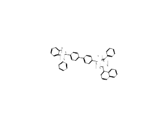 c1ccc(-c2nc(-c3ccc(-c4ccc(-c5nc6ccccc6n5-c5ccccc5)cc4)cc3)nc(-c3cccc4ccccc34)n2)cc1